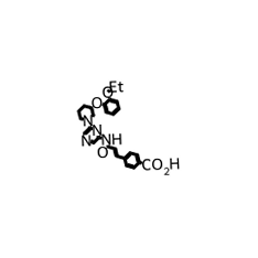 CCOc1ccccc1O[C@@H]1CCCN(c2cncc(NC(=O)/C=C/c3ccc(C(=O)O)cc3)n2)C1